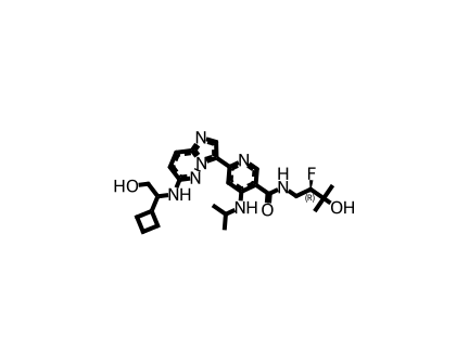 CC(C)Nc1cc(-c2cnc3ccc(NC(CO)C4CCC4)nn23)ncc1C(=O)NC[C@@H](F)C(C)(C)O